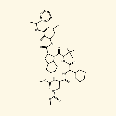 CCCC(NC(=O)[C@@H]1CC2CCCCC2N1C(=O)[C@@H](NC(=O)C(NC(=O)C(CNC(=O)OC)NC(=O)OC)C1CCCCC1)C(C)(C)C)C(=O)C(=O)N[C@@H](C)c1ccccc1